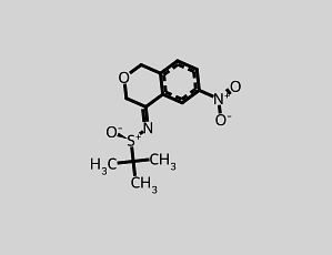 CC(C)(C)[S@@+]([O-])/N=C1\COCc2ccc([N+](=O)[O-])cc21